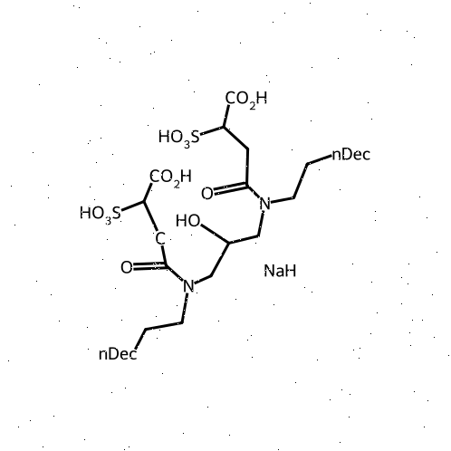 CCCCCCCCCCCCN(CC(O)CN(CCCCCCCCCCCC)C(=O)CC(C(=O)O)S(=O)(=O)O)C(=O)CC(C(=O)O)S(=O)(=O)O.[NaH]